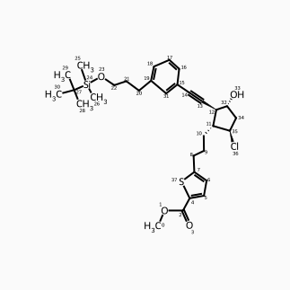 COC(=O)c1ccc(CCC[C@@H]2[C@@H](C#Cc3cccc(CCCO[Si](C)(C)C(C)(C)C)c3)[C@H](O)C[C@H]2Cl)s1